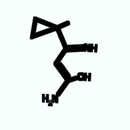 CC1(C(=N)/C=C(/N)O)CC1